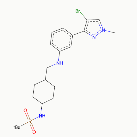 Cn1cc(Br)c(-c2cccc(NCC3CCC(NS(=O)(=O)C(C)(C)C)CC3)c2)n1